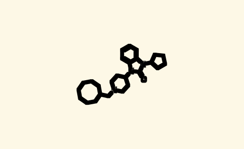 O=c1n(C2CCCC2)c2ccccc2n1C1CCN(CC2CCCCCCC2)CC1